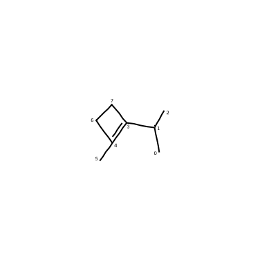 C[C](C)C1=C(C)CC1